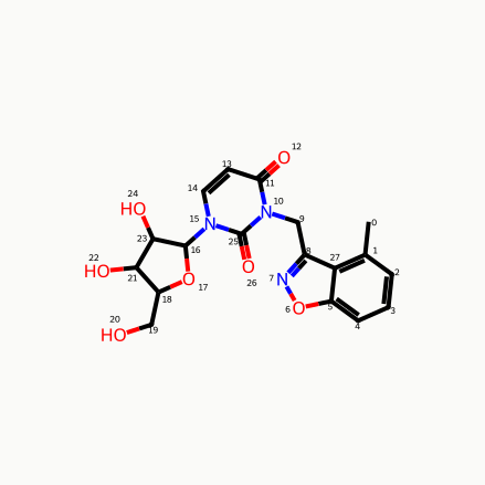 Cc1cccc2onc(Cn3c(=O)ccn(C4OC(CO)C(O)C4O)c3=O)c12